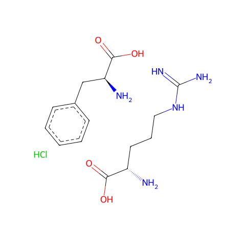 Cl.N=C(N)NCCC[C@H](N)C(=O)O.N[C@@H](Cc1ccccc1)C(=O)O